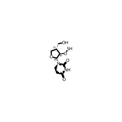 O=c1ccn([C@@H]2OC[C@H](CO)[C@H]2OS)c(=O)[nH]1